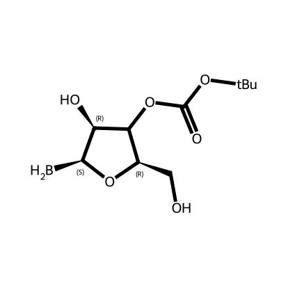 B[C@@H]1O[C@H](CO)C(OC(=O)OC(C)(C)C)[C@@H]1O